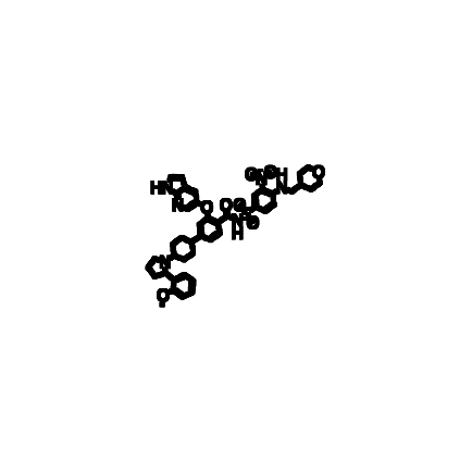 COc1ccccc1C1CCCN1C1CCC(c2ccc(C(=O)NS(=O)(=O)c3ccc(NCC4CCOCC4)c([N+](=O)[O-])c3)c(Oc3cnc4[nH]ccc4c3)c2)CC1